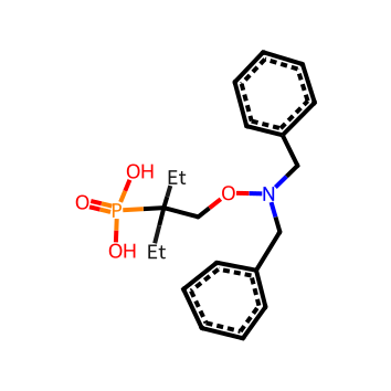 CCC(CC)(CON(Cc1ccccc1)Cc1ccccc1)P(=O)(O)O